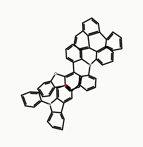 c1ccc(-c2cccc3cccc(-c4ccccc4N(c4cccc(-c5ccc6c(c5)c5ccccc5n6-c5ccccc5)c4)c4ccccc4-c4cccc5c4oc4ccccc45)c23)cc1